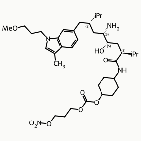 COCCCn1cc(C)c2ccc(C[C@@H](C[C@H](N)[C@@H](O)C[C@H](C(=O)NC3CCC(OC(=O)OCCCO[N+](=O)[O-])CC3)C(C)C)C(C)C)cc21